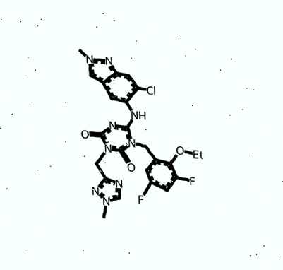 CCOc1c(F)cc(F)cc1Cn1c(Nc2cc3cn(C)nc3cc2Cl)nc(=O)n(Cc2ncn(C)n2)c1=O